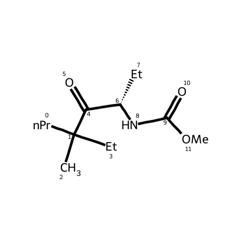 CCCC(C)(CC)C(=O)[C@H](CC)NC(=O)OC